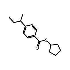 CCC(C)c1ccc(C(=O)SC2CCCC2)cc1